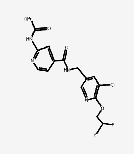 CCCC(=O)Nc1cc(C(=O)NCc2cnc(OCC(F)F)c(Cl)c2)ccn1